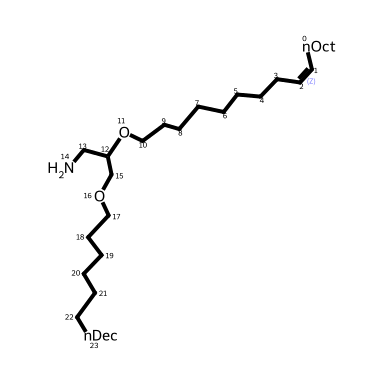 CCCCCCCC/C=C\CCCCCCCCOC(CN)COCCCCCCCCCCCCCCCC